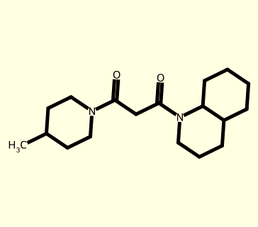 CC1CCN(C(=O)CC(=O)N2CCCC3CCCCC32)CC1